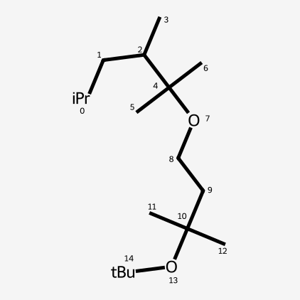 CC(C)CC(C)C(C)(C)OCCC(C)(C)OC(C)(C)C